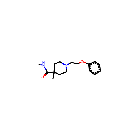 CNC(=O)C1(C)CCN(CCOc2ccccc2)CC1